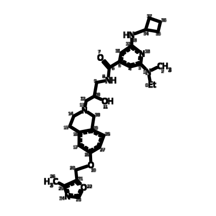 CCN(C)c1cc(C(=O)NCC(O)CN2CCc3cc(OCc4ocnc4C)ccc3C2)cc(NC2CCC2)n1